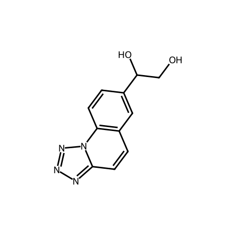 OCC(O)c1ccc2c(ccc3nnnn32)c1